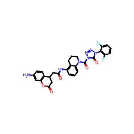 Nc1ccc2c(c1)OC(=O)CC2CC(=O)Nc1cccc2c1CCCN2C(=O)n1nnn(-c2c(F)cccc2F)c1=O